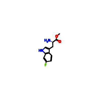 COC(=O)[C@@H](N)Cc1c[nH]c2cc(F)ccc12